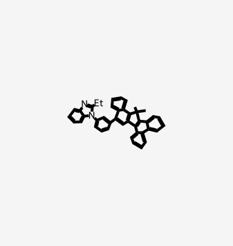 CCc1nc2ccccc2n1-c1cccc(-c2cc3c(c4ccccc24)C(C)(C)c2c-3c3ccccc3c3ccccc23)c1